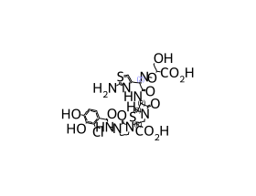 Nc1nc(/C(=N/OC(CO)C(=O)O)C(=O)N[C@@H]2C(=O)N3C[C@@](C(=O)O)(N4CCN(NC(=O)c5ccc(O)c(O)c5Cl)C4=O)S[C@H]23)cs1